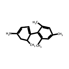 Cc1cc(C)c(C2=CC=C(N)CC2C)c(C)c1